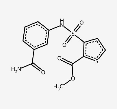 COC(=O)c1sccc1S(=O)(=O)Nc1cccc(C(N)=O)c1